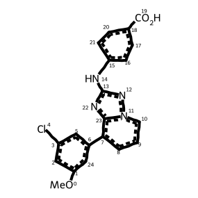 COc1cc(Cl)cc(-c2cccn3nc(Nc4ccc(C(=O)O)cc4)nc23)c1